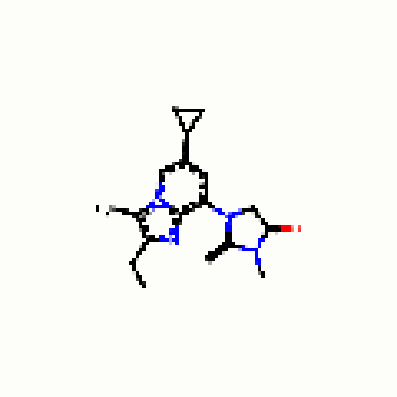 Bc1c(CC)nc2c(N3CC(=O)N(C)C3=C)cc(C3CC3)cn12